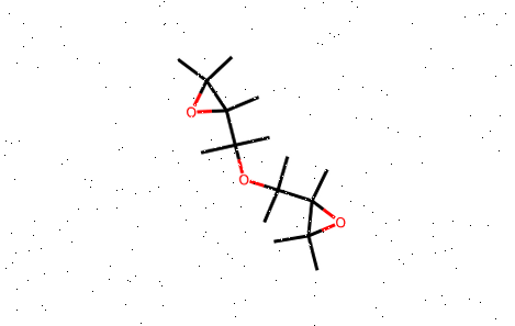 CC(C)(OC(C)(C)C1(C)OC1(C)C)C1(C)OC1(C)C